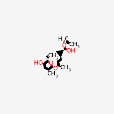 C=C[C@@H]1O[C@@H](O[C@H](C)CC[C@H]2C[C@@H]2C(O)OC(C)C)[C@H](C)C[C@H]1O